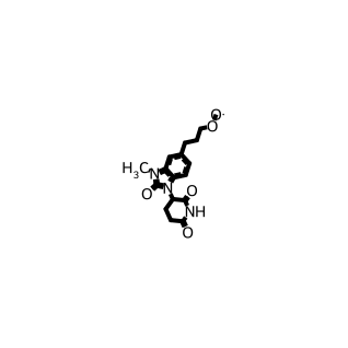 Cn1c(=O)n(C2CCC(=O)NC2=O)c2ccc(CCCO[O])cc21